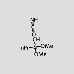 CCC[Si](C)(OC)OC.N=C=O